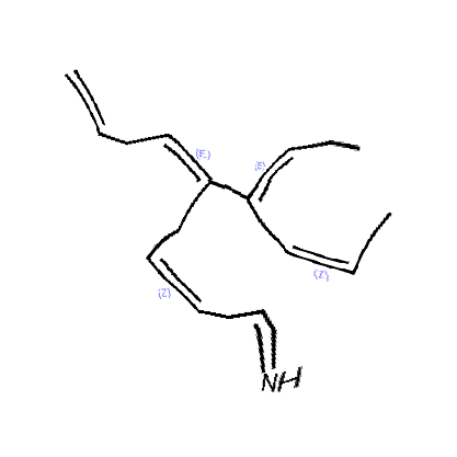 C=C/C=C(\C=C/C=N)C(/C=C\C)=C/C